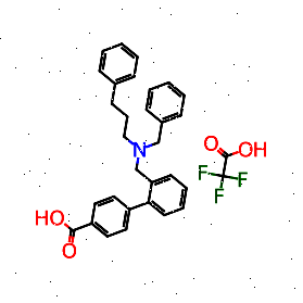 O=C(O)C(F)(F)F.O=C(O)c1ccc(-c2ccccc2CN(CCCc2ccccc2)Cc2ccccc2)cc1